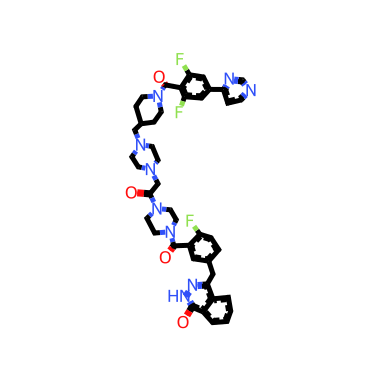 O=C(CN1CCN(CC2CCN(C(=O)c3c(F)cc(-c4ccncn4)cc3F)CC2)CC1)N1CCN(C(=O)c2cc(Cc3n[nH]c(=O)c4ccccc34)ccc2F)CC1